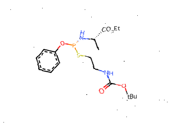 CCOC(=O)[C@H](C)N[P@@](Oc1ccccc1)SCCNC(=O)OC(C)(C)C